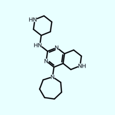 C1CCCN(c2nc(NC3CCCNC3)nc3c2CNCC3)CC1